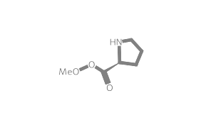 COOC(=O)[C@@H]1CCCN1